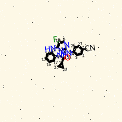 N#Cc1ccc(Nc2ncc(F)c(Nc3ccccc3NC(=O)C3CC3)n2)cc1